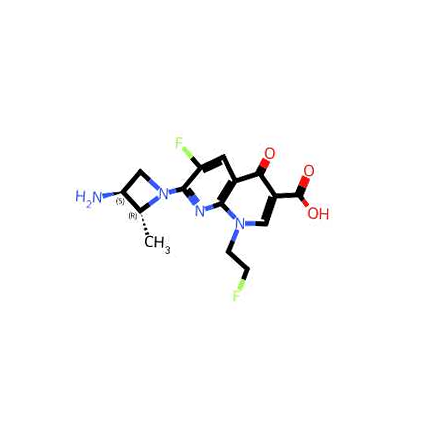 C[C@@H]1[C@@H](N)CN1c1nc2c(cc1F)c(=O)c(C(=O)O)cn2CCF